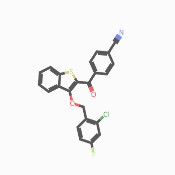 N#Cc1ccc(C(=O)c2sc3ccccc3c2OCc2ccc(F)cc2Cl)cc1